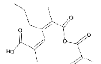 C=C(C)C(=O)OC(=O)C(C)=C(C=C(C)C(=O)O)CCC